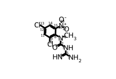 CN(C(=O)NC(=N)N)c1c(Cl)cc(Cl)cc1[N+](=O)[O-]